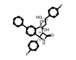 O=C1N[C@@](c2ccc(F)cc2)(c2ccc(-c3ccccc3)cc2B(O)O)[C@H]1CC[C@H](O)c1ccc(F)cc1